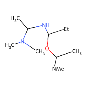 CCC(NC(C)N(C)C)OC(C)NC